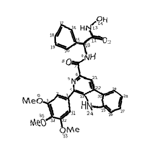 COc1cc(-c2nc(C(=O)NC(C(=O)NO)c3ccccc3)cc3c2[nH]c2ccccc23)cc(OC)c1OC